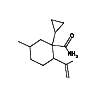 C=C(C)C1CCC(C)CC1(C(N)=O)C1CC1